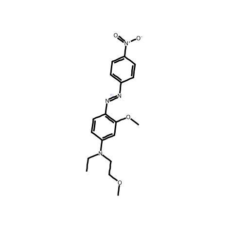 CCN(CCOC)c1ccc(/N=N/c2ccc([N+](=O)[O-])cc2)c(OC)c1